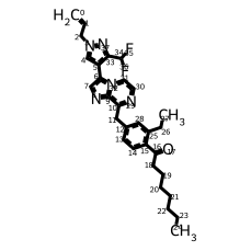 C=CCn1cc(-c2cnc3c(Cc4ccc(C(=O)CCCCCCC)c(CC)c4)nccn23)c(C(F)F)n1